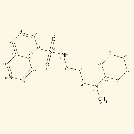 CN(CCCNS(=O)(=O)c1cccc2cnccc12)C1CCCCC1